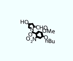 CCCCOc1cc([N+](=O)[O-])c(C(=O)N2C[C@H](O)C[C@H]2C=O)cc1OC